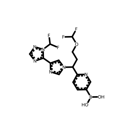 OB(O)c1ccc(C(CCOC(F)F)n2cnc(-c3ncnn3C(F)F)c2)nc1